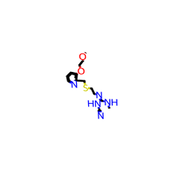 CN/C(=N/CCSCc1ncccc1OCCOC)NC#N